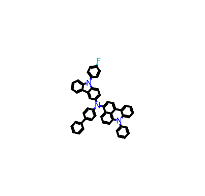 Fc1ccc(-n2c3ccccc3c3cc(N(c4ccc(-c5ccccc5)cc4)c4ccc5c6c(cccc46)N(c4ccccc4)c4ccccc4-5)ccc32)cc1